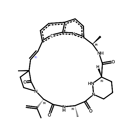 C=C(C)[C@H]1C(=O)N[C@@H](C)C(=O)N2CCC[C@H](N2)C(=O)N[C@H](C)c2ccc3ccc(cc3n2)/C=C/C2(C)CCN1C2=O